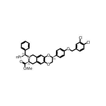 CCC[C@@H](c1ccccc1)N1Cc2cc3c(cc2C[C@H]1C(=O)OC)OC[C@H](c1ccc(OCc2ccc(Cl)c(Cl)c2)cc1)O3